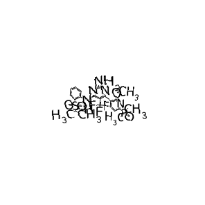 COc1nc(P(C)(C)=O)ccc1-c1nc(N)nc(Nc2ccccc2S(=O)(=O)C(C)C)c1C(F)(F)F